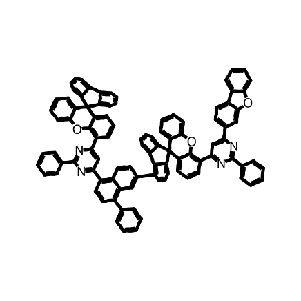 c1ccc(-c2nc(-c3ccc4c(c3)oc3ccccc34)cc(-c3cccc4c3Oc3ccccc3C43c4ccccc4-c4c(-c5ccc6c(-c7cc(-c8cccc9c8Oc8ccccc8C98c9ccccc9-c9ccccc98)nc(-c8ccccc8)n7)ccc(-c7ccccc7)c6c5)cccc43)n2)cc1